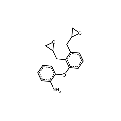 Nc1ccccc1Oc1cccc(CC2CO2)c1CC1CO1